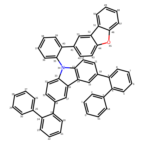 c1ccc(-c2ccccc2-c2ccc3c(c2)c2cc(-c4ccccc4-c4ccccc4)ccc2n3-c2ccccc2-c2ccc3oc4ccccc4c3c2)cc1